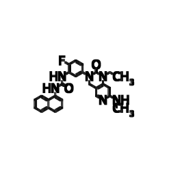 CCN1C(=O)N(c2ccc(F)c(NC(=O)Nc3cccc4ccccc34)c2)Cc2cnc(NC)cc21